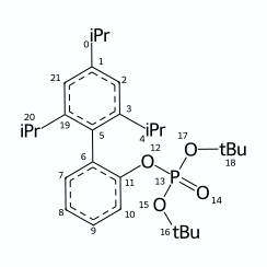 CC(C)c1cc(C(C)C)c(-c2ccccc2OP(=O)(OC(C)(C)C)OC(C)(C)C)c(C(C)C)c1